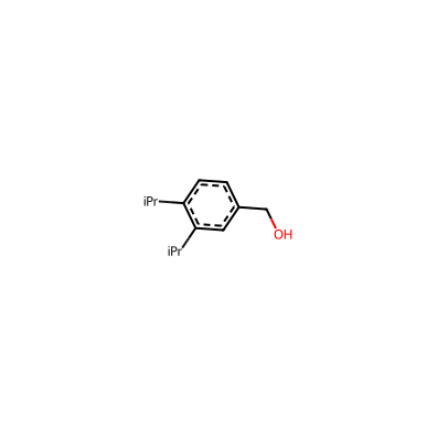 CC(C)c1ccc(CO)cc1C(C)C